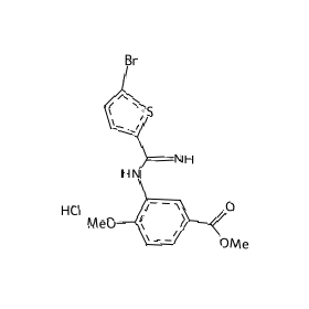 COC(=O)c1ccc(OC)c(NC(=N)c2ccc(Br)s2)c1.Cl